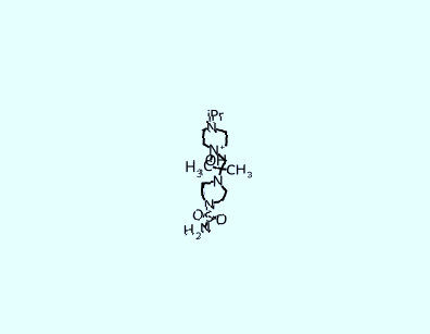 CC(C)N1CC[N+](O)(CC(C)(C)N2CCN(S(N)(=O)=O)CC2)CC1